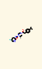 CC(C)c1ccc(CC(=O)N2CCN(c3nc4cc(F)cnc4o3)[C@@H](C)C2)cc1